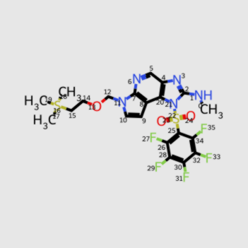 CNc1nc2cnc3c(ccn3COCCS(C)(C)C)c2n1S(=O)(=O)c1c(F)c(F)c(F)c(F)c1F